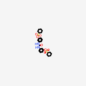 O=C(Nc1cccc(OS(=O)(=O)C2CCCCC2)c1)Nc1cccc(OS(=O)(=O)C2CCCCC2)c1